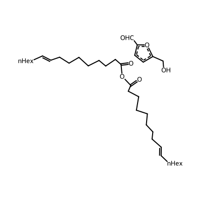 CCCCCCC=CCCCCCCCC(=O)OC(=O)CCCCCCCC=CCCCCCC.O=Cc1ccc(CO)o1